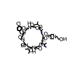 C/C=C(\C)[C@H]1OC(=O)C(C)(C)NC(=O)[C@H](C(C)CC)NC(=O)CN(C)C(=O)[C@@H](Cc2ccc(Cl)cc2)N(C)C(=O)[C@H](C)NC(=O)[C@@H](CC(C)C)OC(=O)/C(C)=C/C[C@H](OC(=O)N2CCN(CCO)CC2)[C@@H]1C